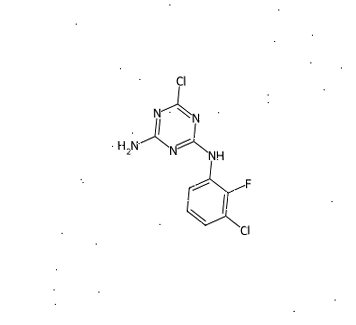 Nc1nc(Cl)nc(Nc2cccc(Cl)c2F)n1